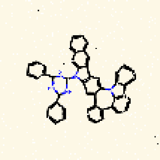 c1ccc(C2NC(c3ccccc3)NC(n3c4cc5c(cc4c4cc6ccccc6cc43)-n3c4ccccc4c4cccc(c43)-c3ccccc3-5)N2)cc1